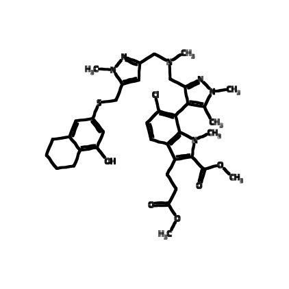 COC(=O)CCc1c(C(=O)OC)n(C)c2c(-c3c(CN(C)Cc4cc(CSc5cc(O)c6c(c5)CCCC6)n(C)n4)nn(C)c3C)c(Cl)ccc12